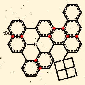 CC(C)(C)c1ccc(-c2ccccc2)c(N(c2cc(-c3cccc4ccccc34)ccc2-c2ccccc2)c2ccccc2-c2cccc3cccc(C45CC6CC7CC(C4)C765)c23)c1